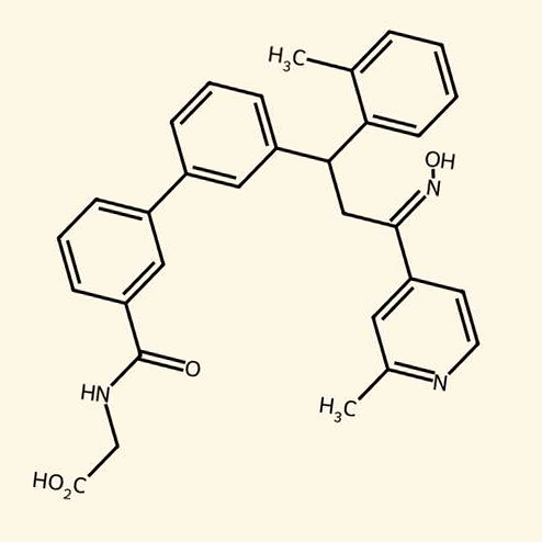 Cc1cc(/C(CC(c2cccc(-c3cccc(C(=O)NCC(=O)O)c3)c2)c2ccccc2C)=N/O)ccn1